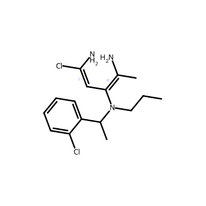 CCCN(C(/C=C(\N)Cl)=C(\C)N)C(C)c1ccccc1Cl